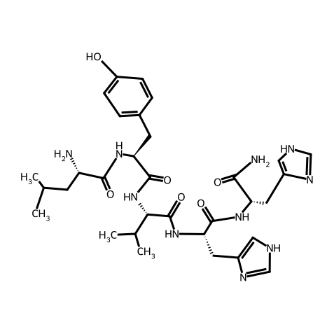 CC(C)C[C@H](N)C(=O)N[C@@H](Cc1ccc(O)cc1)C(=O)N[C@H](C(=O)N[C@@H](Cc1c[nH]cn1)C(=O)N[C@@H](Cc1c[nH]cn1)C(N)=O)C(C)C